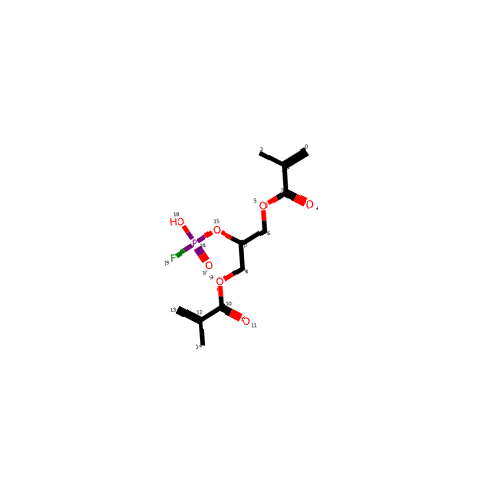 C=C(C)C(=O)OCC(COC(=O)C(=C)C)OP(=O)(O)F